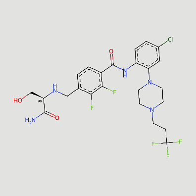 NC(=O)[C@@H](CO)NCc1ccc(C(=O)Nc2ccc(Cl)cc2N2CCN(CCC(F)(F)F)CC2)c(F)c1F